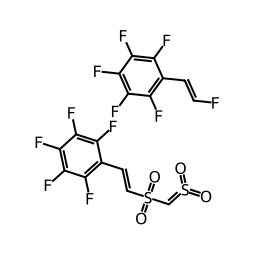 FC=Cc1c(F)c(F)c(F)c(F)c1F.O=S(=O)=CS(=O)(=O)C=Cc1c(F)c(F)c(F)c(F)c1F